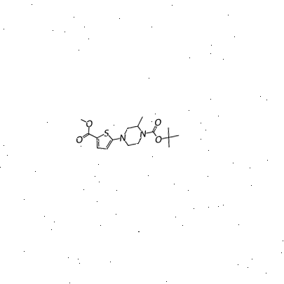 COC(=O)c1ccc(N2CCN(C(=O)OC(C)(C)C)C(C)C2)s1